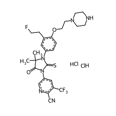 CC1(C)C(=O)N(c2cnc(C#N)c(C(F)(F)F)c2)C(=S)N1c1ccc(OCCN2CCNCC2)c(CCF)c1.Cl.Cl